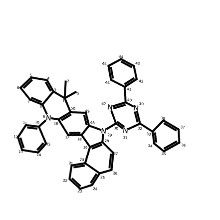 CC1(C)c2ccccc2N(c2ccccc2)c2cc3c4c5ccccc5ccc4n(-c4nc(-c5ccccc5)nc(-c5ccccc5)n4)c3cc21